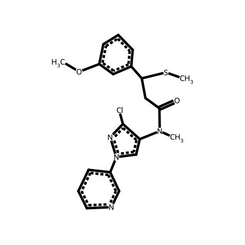 COc1cccc(C(CC(=O)N(C)c2cn(-c3cccnc3)nc2Cl)SC)c1